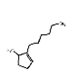 CC1CCC=C1CCCCCO